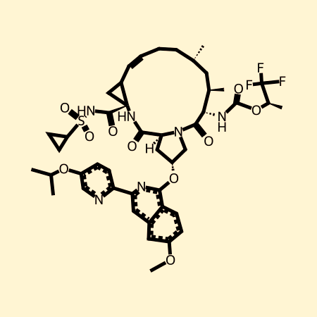 COc1ccc2c(O[C@@H]3C[C@H]4C(=O)N[C@]5(C(=O)NS(=O)(=O)C6CC6)CC5/C=C\CC[C@H](C)C[C@@H](C)[C@H](NC(=O)O[C@H](C)C(F)(F)F)C(=O)N4C3)nc(-c3ccc(OC(C)C)cn3)cc2c1